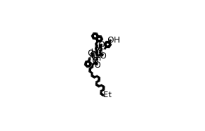 CC/C=C\C/C=C\C/C=C\C/C=C\C/C=C\C/C=C\CCC(=O)OC[C@H]1C(=O)N2[C@H](CN(Cc3cccc4ccccc34)C(=O)[C@@H]2Cc2ccc(O)cc2)N1C(=O)NCc1ccccc1